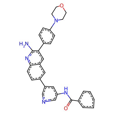 Nc1nc2ccc(-c3cncc(NC(=O)c4ccccc4)c3)cc2cc1-c1ccc(N2CCOCC2)cc1